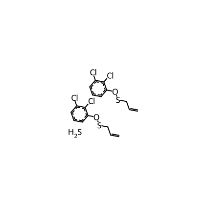 C=CCSOc1cccc(Cl)c1Cl.C=CCSOc1cccc(Cl)c1Cl.S